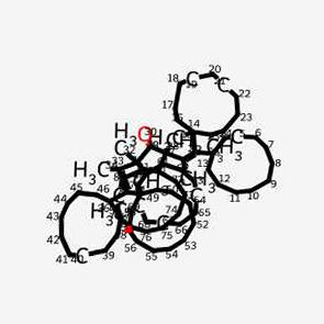 CC(=C(C1CCCCCCCCCC1)C1(C)CCCCCCCCCC1C)C(C)(C(=O)C(C)(C(C)=C(C1CCCCCCCCCC1)C1(C)CCCCCCCCCC1C)C1CCCCCCCCCC1)C1CCCCCCCCCC1